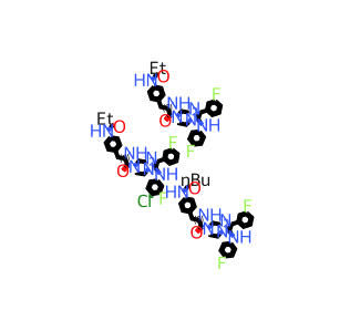 CCC(=O)Nc1ccc(C[C@H](N)C(=O)N2CCn3c(nc(-c4cccc(F)c4)c3Nc3ccc(Cl)c(F)c3)C2)cc1.CCC(=O)Nc1ccc(C[C@H](N)C(=O)N2CCn3c(nc(-c4cccc(F)c4)c3Nc3ccc(F)cc3)C2)cc1.CCCCC(=O)Nc1ccc(C[C@H](N)C(=O)N2CCn3c(nc(-c4cccc(F)c4)c3Nc3ccc(F)cc3)C2)cc1